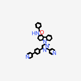 CN1C(c2ccncc2)=NC(c2ccc(-c3ccncc3)cc2)=CC1N1C2CCC=CC2C2C3=C(CCC21)NC(c1ccccc1)O3